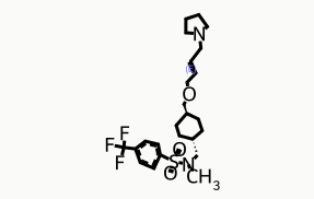 CN(C[C@H]1CC[C@H](COC/C=C/CN2CCCC2)CC1)S(=O)(=O)c1ccc(C(F)(F)F)cc1